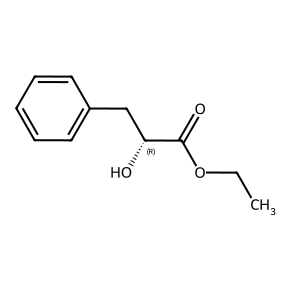 CCOC(=O)[C@H](O)Cc1ccccc1